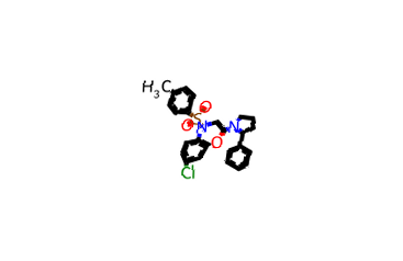 Cc1ccc(S(=O)(=O)N(CC(=O)N2CCCC2c2ccccc2)c2ccc(Cl)cc2)cc1